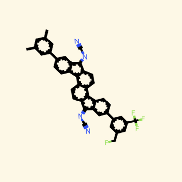 Cc1cc(C)cc(-c2ccc3c(c2)/c(=N\C#N)c2ccc4c(ccc5/c(=N/C#N)c6cc(-c7cc(CF)cc(C(F)(F)F)c7)ccc6c54)c23)c1